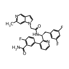 Cc1cc2c(ccn2CC(=O)N[C@@H](Cc2cc(F)cc(F)c2)c2ncccc2-c2ccc(F)c(C(N)=O)c2)cn1